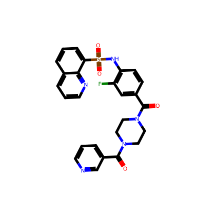 O=C(c1cccnc1)N1CCN(C(=O)c2ccc(NS(=O)(=O)c3cccc4cccnc34)c(F)c2)CC1